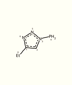 CCc1cn(P)nn1